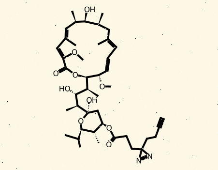 C#CCCC1(CCC(=O)O[C@@H]2C[C@](O)([C@@H](C)[C@H](O)[C@H](C)[C@H]3OC(=O)/C(OC)=C/C(C)=C/[C@@H](C)[C@@H](O)[C@@H](C)C/C(C)=C/C=C/[C@@H]3OC)O[C@H](C(C)C)[C@H]2C)N=N1